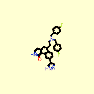 O=c1[nH]ccc2cc(CCN(Cc3ccc(F)cc3)Cc3ccc(F)cc3)c3ccc(-c4cn[nH]c4)cc3c12